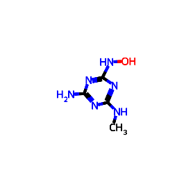 CNc1nc(N)nc(NO)n1